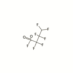 O=S(=O)(F)C(F)(F)C(F)(F)[C](F)F